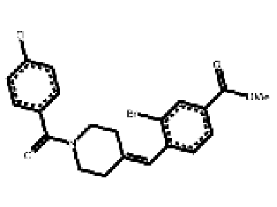 COC(=O)c1ccc(C=C2CCN(C(=O)c3ccc(Cl)cc3)CC2)c(Br)c1